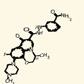 C[C@H]1COc2c(N3CCN(C)CC3)c(F)cc3c(=O)c(C(=O)NNc4cccc(C(N)=O)c4)cn1c23